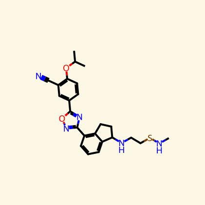 CNSCCNC1CCc2c(-c3noc(-c4ccc(OC(C)C)c(C#N)c4)n3)cccc21